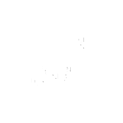 CN1CCCC2(CCN(C(=O)CNC(N)=O)CC2)C1